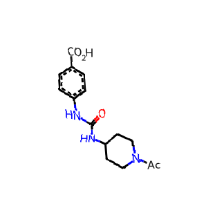 CC(=O)N1CCC(NC(=O)Nc2ccc(C(=O)O)cc2)CC1